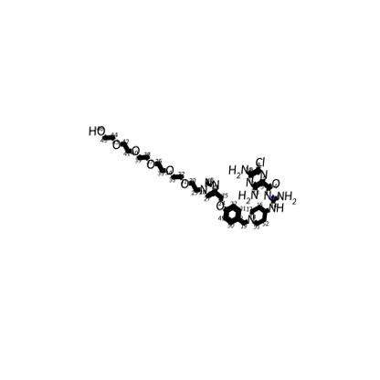 N/C(=N\C(=O)c1nc(Cl)c(N)nc1N)NC1CCN(Cc2ccc(OCc3cn(CCOCCOCCOCCOCCOCCO)nn3)cc2)CC1